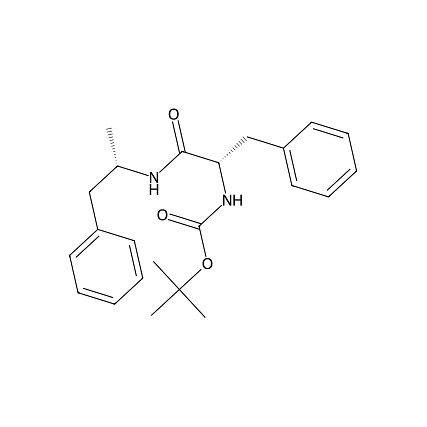 C[C@@H](Cc1ccccc1)NC(=O)[C@H](Cc1ccccc1)NC(=O)OC(C)(C)C